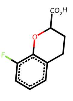 O=C(O)C1CCc2cccc(F)c2O1